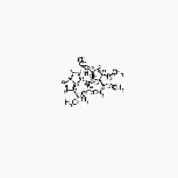 CSC1=C2C(=CC=[C]2[Zr+2]([C]2=C(C)C=C3C2=CC(C)P3C)=[C](C)C)C=C1.[Cl-].[Cl-]